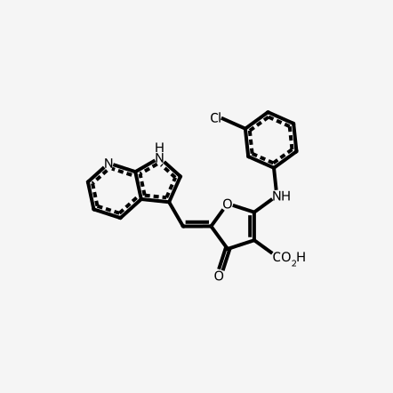 O=C(O)C1=C(Nc2cccc(Cl)c2)OC(=Cc2c[nH]c3ncccc23)C1=O